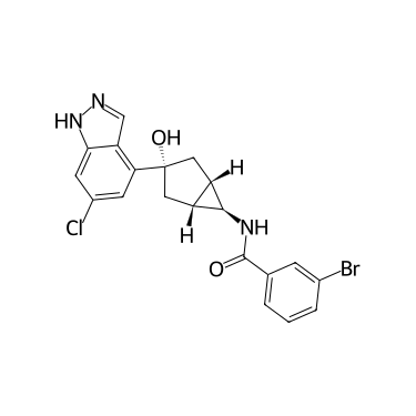 O=C(N[C@H]1[C@@H]2C[C@@](O)(c3cc(Cl)cc4[nH]ncc34)C[C@@H]21)c1cccc(Br)c1